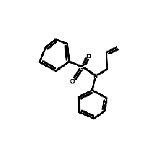 C=CCN(c1ccccc1)S(=O)(=O)c1ccccc1